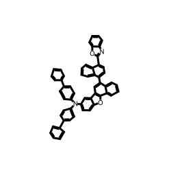 c1ccc(-c2ccc(N(c3ccc(-c4ccccc4)cc3)c3ccc4oc5c6ccccc6c(-c6ccc(-c7nc8ccccc8o7)c7ccccc67)cc5c4c3)cc2)cc1